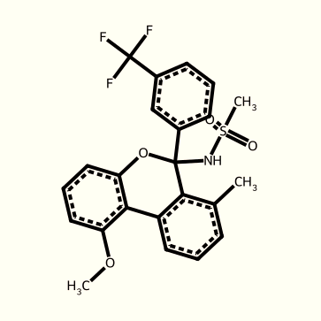 COc1cccc2c1-c1cccc(C)c1C(NS(C)(=O)=O)(c1cccc(C(F)(F)F)c1)O2